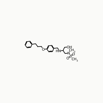 CN(CC(CO)NCc1ccc(OCCCc2ccccc2)cc1)S(C)(=O)=O